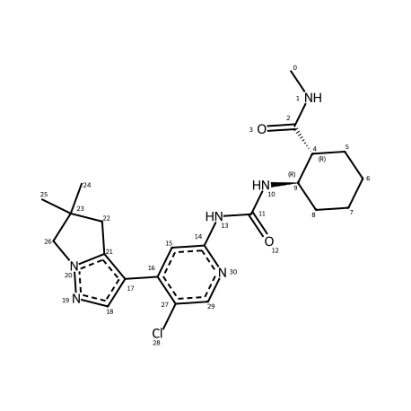 CNC(=O)[C@@H]1CCCC[C@H]1NC(=O)Nc1cc(-c2cnn3c2CC(C)(C)C3)c(Cl)cn1